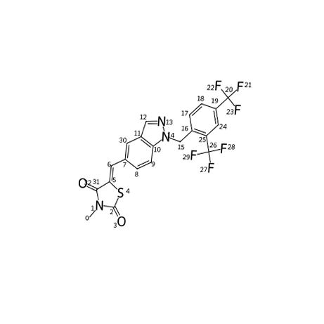 CN1C(=O)S/C(=C\c2ccc3c(cnn3Cc3ccc(C(F)(F)F)cc3C(F)(F)F)c2)C1=O